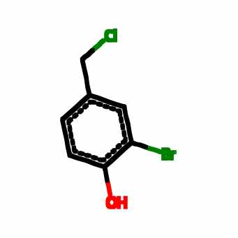 Oc1ccc(CCl)cc1Br